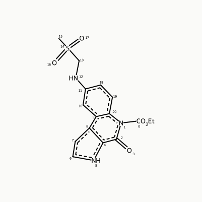 CCOC(=O)n1c(=O)c2[nH]ccc2c2cc(NCS(C)(=O)=O)ccc21